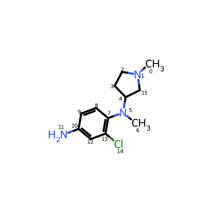 CN1CCC(N(C)c2ccc(N)cc2Cl)C1